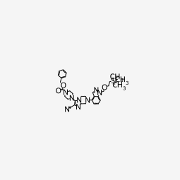 C[Si](C)(C)CCOCn1ncc2c(N3CCn4c(nc(C#N)c4N4CCN(C(=O)OCc5ccccc5)CC4)C3)cccc21